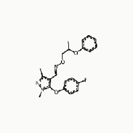 Cc1nn(C)c(Oc2ccc(F)cc2)c1C=NOCC(C)Oc1ccccc1